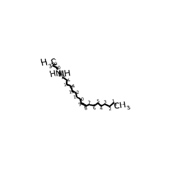 CCCCCCCC/C=C\CCCCCCCCNNCCC